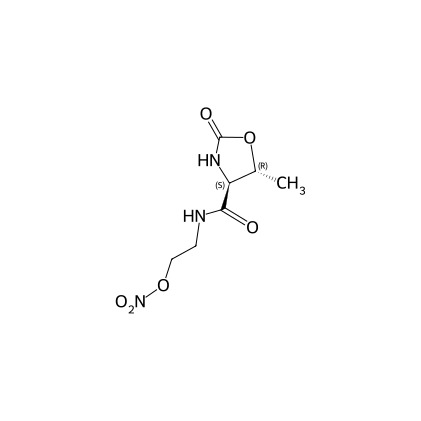 C[C@H]1OC(=O)N[C@@H]1C(=O)NCCO[N+](=O)[O-]